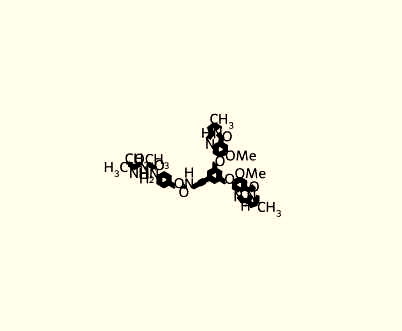 C=C(C)[C@H](N)C(=O)N[C@@H](C)C(=O)Nc1ccc(COC(=O)NCC#Cc2cc(COc3cc4c(cc3OC)C(=O)N3C=C(C)C[C@H]3C=N4)cc(COc3cc4c(cc3OC)C(=O)N3C=C(C)C[C@H]3C=N4)c2)cc1